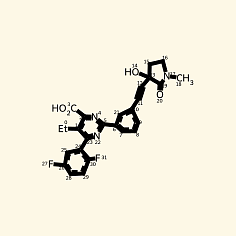 CCc1c(C(=O)O)nc(-c2cccc(C#CC3(O)CCN(C)C3=O)c2)nc1-c1cc(F)ccc1F